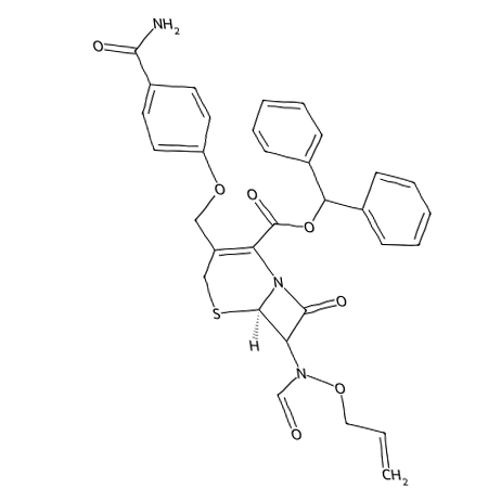 C=CCON(C=O)C1C(=O)N2C(C(=O)OC(c3ccccc3)c3ccccc3)=C(COc3ccc(C(N)=O)cc3)CS[C@H]12